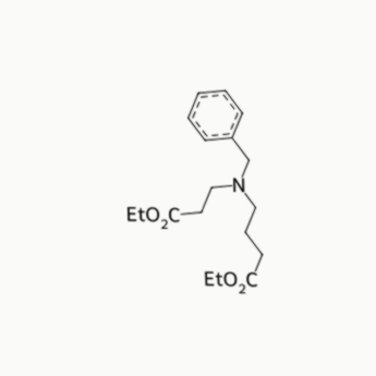 CCOC(=O)CCCN(CCC(=O)OCC)Cc1ccccc1